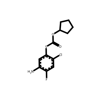 Nc1cc(SC(=O)OC2CCCC2)c(Cl)cc1F